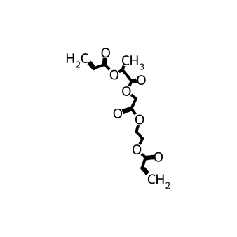 C=CC(=O)OCCOC(=O)COC(=O)C(C)OC(=O)C=C